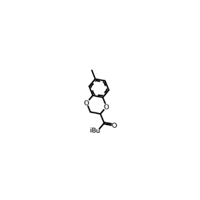 CCC(C)C(=O)C1COc2cc(C)ccc2O1